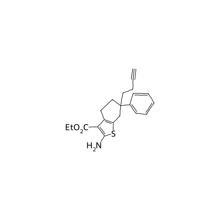 C#CCCC1(c2ccccc2)CCc2c(sc(N)c2C(=O)OCC)C1